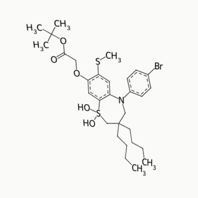 CCCCC1(CCCC)CN(c2ccc(Br)cc2)c2cc(SC)c(OCC(=O)OC(C)(C)C)cc2S(O)(O)C1